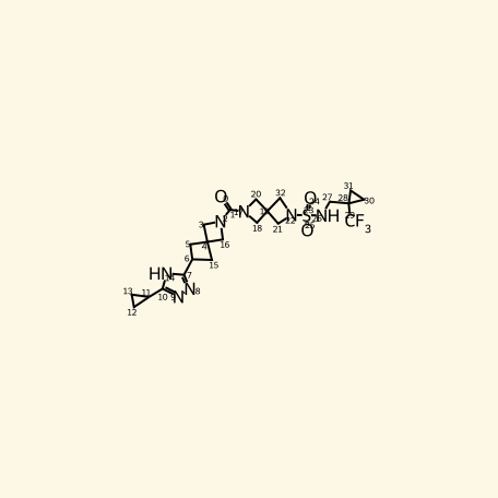 O=C(N1CC2(CC(c3nnc(C4CC4)[nH]3)C2)C1)N1CC2(C1)CN(S(=O)(=O)NCC1(C(F)(F)F)CC1)C2